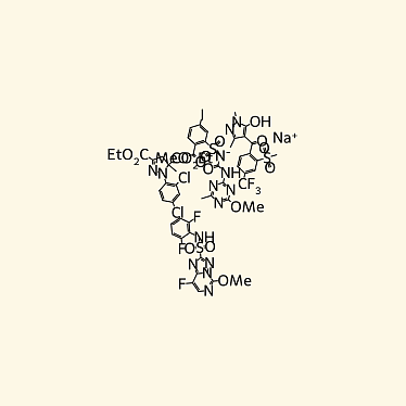 CCOC(=O)C1=NN(c2ccc(Cl)cc2Cl)C(C)(C(=O)OCC)C1.COC(=O)c1ccc(I)cc1S(=O)(=O)[N-]C(=O)Nc1nc(C)nc(OC)n1.COc1ncc(F)c2nc(S(=O)(=O)Nc3c(F)cccc3F)nn12.Cc1nn(C)c(O)c1C(=O)c1ccc(C(F)(F)F)cc1S(C)(=O)=O.[Na+]